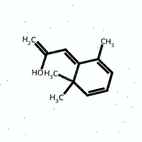 C=C(O)/C=C1/C(C)=CC=CC1(C)C